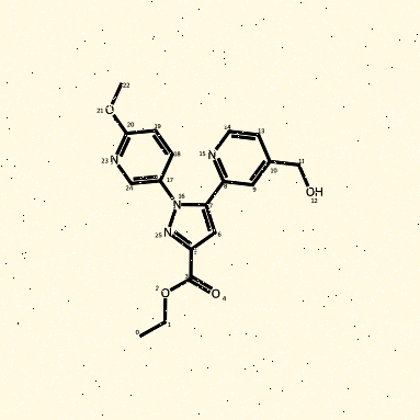 CCOC(=O)c1cc(-c2cc(CO)ccn2)n(-c2ccc(OC)nc2)n1